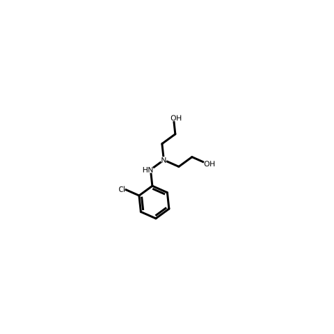 OCCN(CCO)Nc1ccccc1Cl